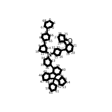 c1ccc(-c2ccc(-c3cccc(N(c4ccc(-c5cccc6oc7ccccc7c56)cc4)c4cccc(-c5cccc6c5-c5ccccc5C6(c5ccccc5)c5ccccc5)c4)c3)cc2)cc1